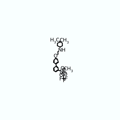 CC1(C)CCC(NCCOc2ccc(-c3cccc(N(OC(=O)C(F)(F)F)S(C)(=O)=O)c3)cc2)CC1